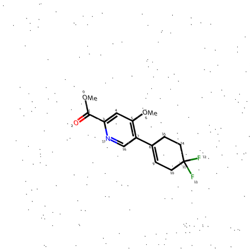 COC(=O)c1cc(OC)c(C2=CCC(F)(F)CC2)cn1